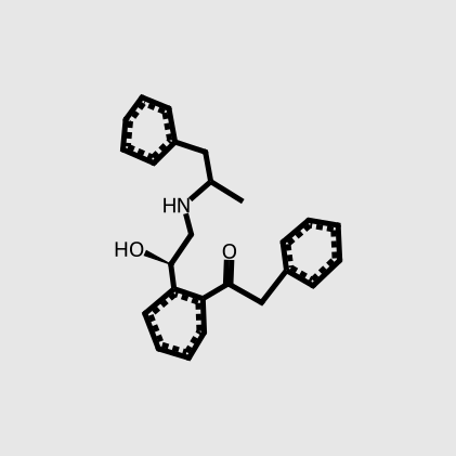 CC(Cc1ccccc1)NC[C@H](O)c1ccccc1C(=O)Cc1ccccc1